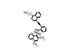 Cc1cc(C)c2cccnc2c1S(=O)(=O)Nc1ccccc1C#Cc1cnc(C(=O)O)c2ccccc12